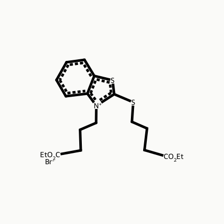 CCOC(=O)CCCSc1sc2ccccc2[n+]1CCCC(=O)OCC.[Br-]